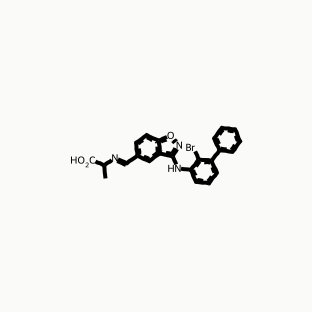 CC(N=Cc1ccc2onc(Nc3cccc(-c4ccccc4)c3Br)c2c1)C(=O)O